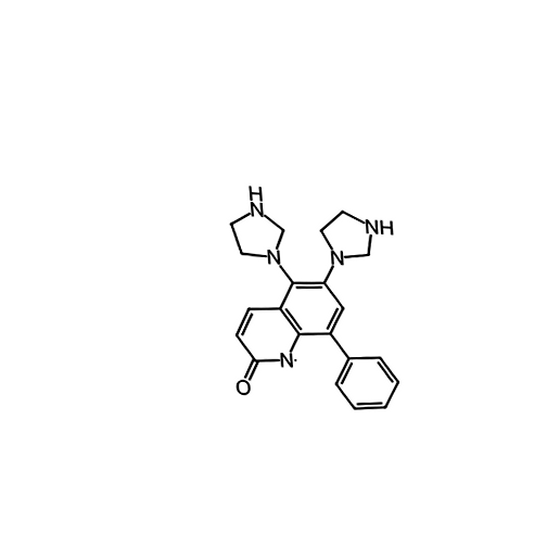 O=C1C=Cc2c(c(-c3ccccc3)cc(N3CCNC3)c2N2CCNC2)[N]1